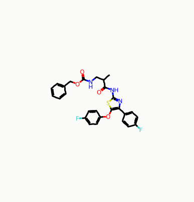 CC(CNC(=O)OCc1ccccc1)C(=O)Nc1nc(-c2ccc(F)cc2)c(Oc2ccc(F)cc2)s1